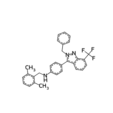 Cc1cccc(C)c1CNc1ccc(-c2c3cccc(C(F)(F)F)c3nn2Cc2ccccc2)cc1